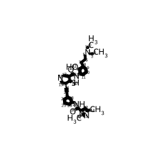 CCN(CC)CCCc1cccc(NC(=O)C2=CN=C[C@H](C#Cc3cccc(NC(=O)c4cc(C)nn4C)c3)C2=S)c1O